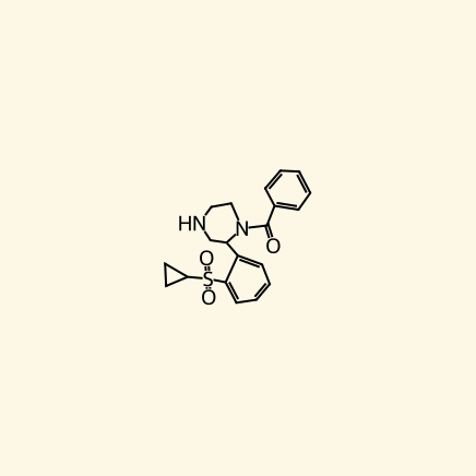 O=C(c1ccccc1)N1CCNCC1c1ccccc1S(=O)(=O)C1CC1